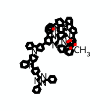 Cc1ccccc1-c1ccc2c3ccc4c5ccccc5sc4c3n(-c3c(C#N)c(-n4c5ccccc5c5ccccc54)c(-n4c5ccccc5c5cc(-c6ccc7c(c6)c6ccccc6n7-c6ccc7c(c6)c6ccccc6n7-c6ccc(-c7nc(-c8ccccc8)nc(-c8ccccc8)n7)cc6)ccc54)c(C#N)c3-n3c4ccccc4c4ccccc43)c2c1